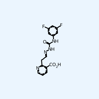 O=C(NN=CCc1ncccc1C(=O)O)Nc1cc(F)cc(F)c1